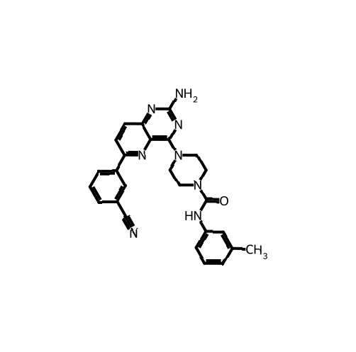 Cc1cccc(NC(=O)N2CCN(c3nc(N)nc4ccc(-c5cccc(C#N)c5)nc34)CC2)c1